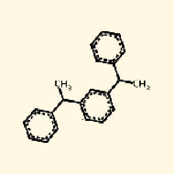 CC(c1[c]ccc(C(C)c2ccccc2)c1)c1ccccc1